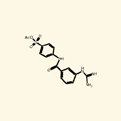 CC(=O)OS(=O)(=O)c1ccc(NC(=O)c2cccc(NC(=N)N)c2)cc1